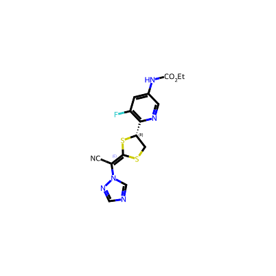 CCOC(=O)Nc1cnc([C@@H]2CS/C(=C(/C#N)n3cncn3)S2)c(F)c1